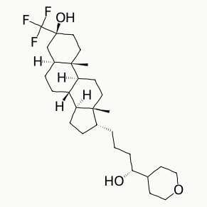 C[C@]12CC[C@@](O)(C(F)(F)F)C[C@@H]1CC[C@@H]1[C@@H]2CC[C@]2(C)[C@H](CCC[C@@H](O)C3CCOCC3)CC[C@@H]12